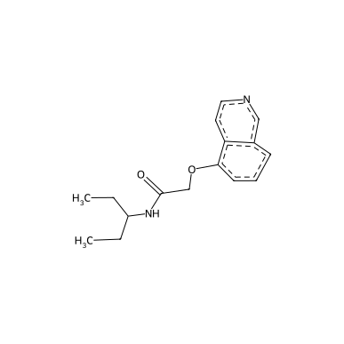 CCC(CC)NC(=O)COc1cccc2cnccc12